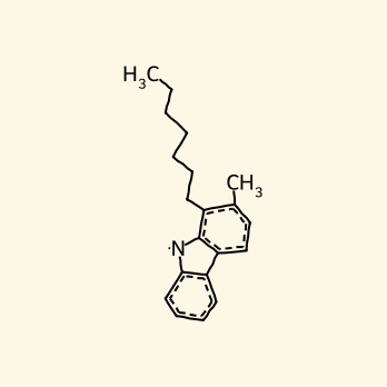 CCCCCCCc1c(C)ccc2c1[N]c1ccccc1-2